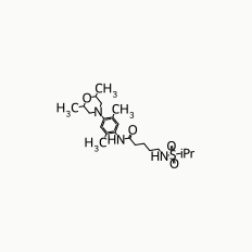 Cc1cc(N2CC(C)OC(C)C2)c(C)cc1NC(=O)CCCCNS(=O)(=O)C(C)C